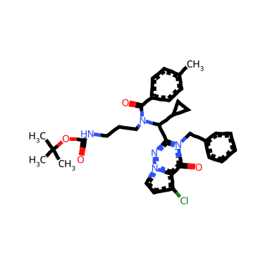 Cc1ccc(C(=O)N(CCCNC(=O)OC(C)(C)C)C(c2nn3ccc(Cl)c3c(=O)n2Cc2ccccc2)C2CC2)cc1